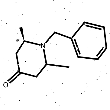 CC1CC(=O)C[C@@H](C)N1Cc1ccccc1